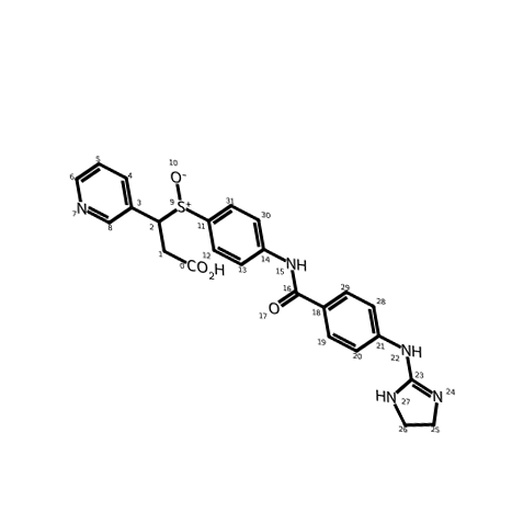 O=C(O)CC(c1cccnc1)[S+]([O-])c1ccc(NC(=O)c2ccc(NC3=NCCN3)cc2)cc1